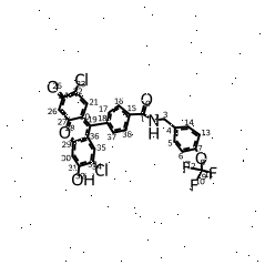 O=C(NCc1ccc(OC(F)(F)F)cc1)c1ccc(-c2c3cc(Cl)c(=O)cc-3oc3cc(O)c(Cl)cc23)cc1